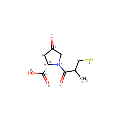 CC(CS)C(=O)N1CC(=O)C[C@H]1C(=O)O